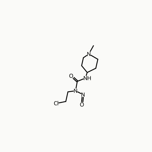 CN1CCC(NC(=O)N(CCCl)N=O)CC1